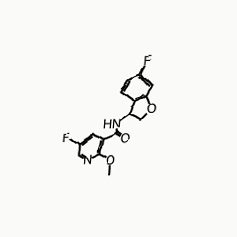 COc1ncc(F)cc1C(=O)NC1COc2cc(F)ccc21